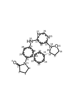 O=C1CCCN1c1ccc(Nc2cc(N3OCC[C@@H]3c3ccccc3)ncn2)cc1